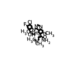 COc1cc2ncnc(Nc3cc(Cl)c(F)cc3C(C)(C)O)c2cc1C(=CCN(C)C)C(N)=O